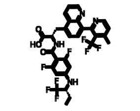 CC[C@@H](Nc1cc(F)c(C(=O)N[C@@H](Cc2ccc(-c3nccc(C)c3C(F)(F)F)c3ncccc23)C(=O)O)c(F)c1)C(F)(F)F